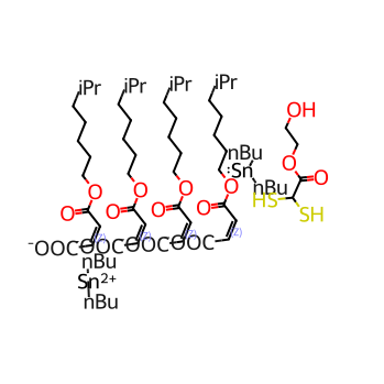 CC(C)CCCCCOC(=O)/C=C\C(=O)[O-].CC(C)CCCCCOC(=O)/C=C\C(=O)[O-].CC(C)CCCCCOC(=O)/C=C\C(=O)[O-].CC(C)CCCCCOC(=O)/C=C\C(=O)[O-].CCC[CH2][Sn+2][CH2]CCC.CCC[CH2][Sn][CH2]CCC.O=C(OCCO)C(S)S